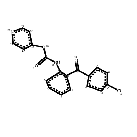 O=C(Nc1ccccc1C(=O)c1ccc(Cl)cc1)Oc1ccncc1